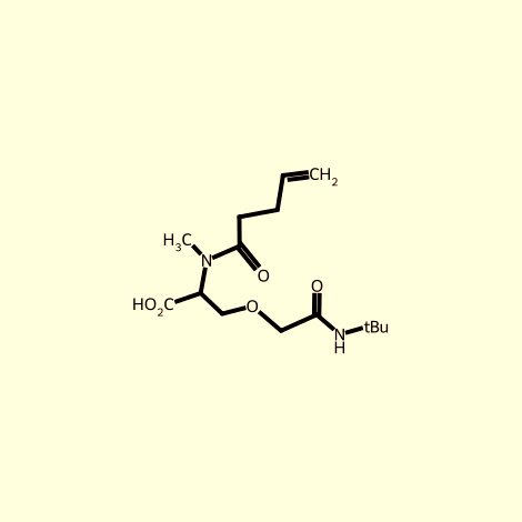 C=CCCC(=O)N(C)C(COCC(=O)NC(C)(C)C)C(=O)O